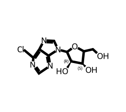 OCC1OC(n2cnc3c(Cl)ncnc32)[C@H](O)[C@@H]1O